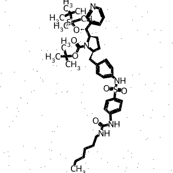 CCCCCCNC(=O)Nc1ccc(S(=O)(=O)Nc2ccc(C[C@@H]3CC[C@H]([C@H](O[Si](C)(C)C(C)(C)C)c4cccnc4)N3C(=O)OC(C)(C)C)cc2)cc1